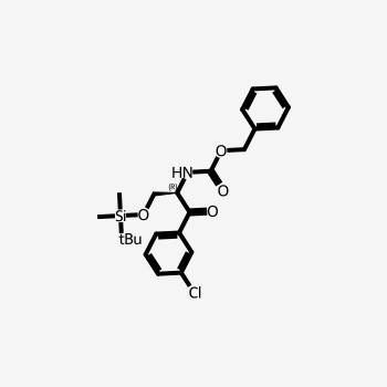 CC(C)(C)[Si](C)(C)OC[C@@H](NC(=O)OCc1ccccc1)C(=O)c1cccc(Cl)c1